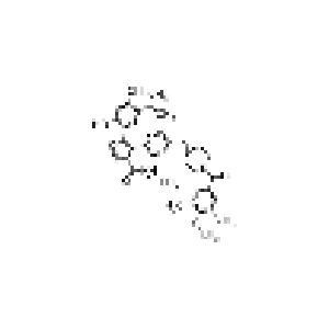 CCNC(=O)c1noc(-c2cc(C(C)C)c(O)cc2O)c1-c1ccc(CN2CCN(C(=O)c3cc(C)c(OC)c(C)c3)CC2)cc1